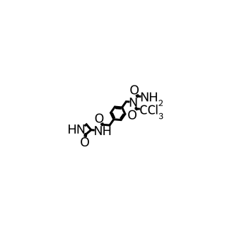 NC(=O)N(Cc1ccc(CC(=O)NC2CNC2=O)cc1)C(=O)C(Cl)(Cl)Cl